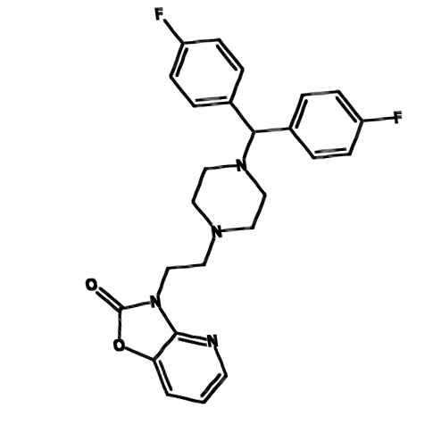 O=c1oc2cccnc2n1CCN1CCN(C(c2ccc(F)cc2)c2ccc(F)cc2)CC1